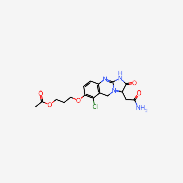 CC(=O)OCCCOc1ccc2c(c1Cl)CN1C(=N2)NC(=O)C1CC(N)=O